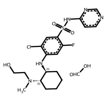 CN(CCO)[C@H]1CCCC[C@@H]1Nc1cc(F)c(S(=O)(=O)Nc2ccncn2)cc1Cl.O=CO